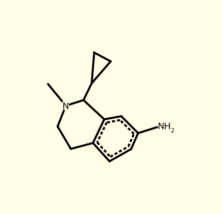 CN1CCc2ccc(N)cc2C1C1CC1